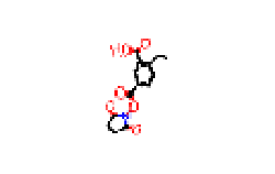 CCc1ccc(C(=O)ON2C(=O)CCC2=O)cc1C(=O)O